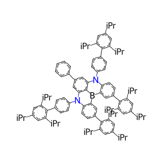 CC(C)c1cc(C(C)C)c(-c2ccc(N3c4ccc(-c5c(C(C)C)cc(C(C)C)cc5C(C)C)cc4B4c5cc(-c6c(C(C)C)cc(C(C)C)cc6C(C)C)ccc5N(c5ccc(-c6c(C(C)C)cc(C(C)C)cc6C(C)C)cc5)c5cc(-c6ccccc6)cc3c54)cc2)c(C(C)C)c1